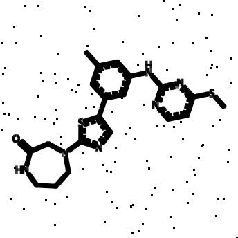 CSc1ccnc(Nc2cc(C)cc(-c3cnc(N4CCCNC(=O)C4)s3)c2)n1